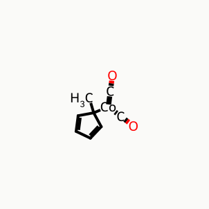 C[C]1([Co](=[C]=O)=[C]=O)C=CC=C1